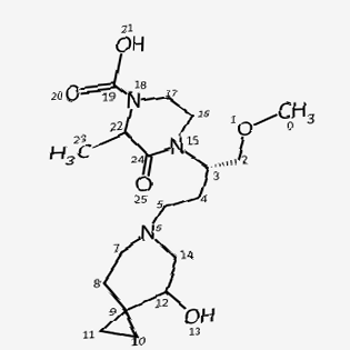 COC[C@H](CCN1CCC2(CC2)C(O)C1)N1CCN(C(=O)O)C(C)C1=O